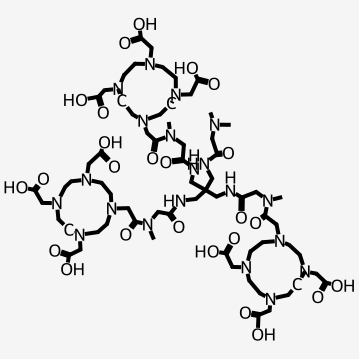 CN(C)CC(=O)NCC(CNC(=O)CN(C)C(=O)CN1CCN(CC(=O)O)CCN(CC(=O)O)CCN(CC(=O)O)CC1)(CNC(=O)CN(C)C(=O)CN1CCN(CC(=O)O)CCN(CC(=O)O)CCN(CC(=O)O)CC1)CNC(=O)CN(C)C(=O)CN1CCN(CC(=O)O)CCN(CC(=O)O)CCN(CC(=O)O)CC1